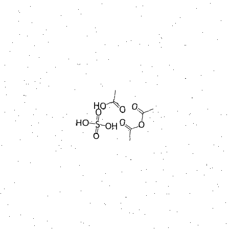 CC(=O)O.CC(=O)OC(C)=O.O=S(=O)(O)O